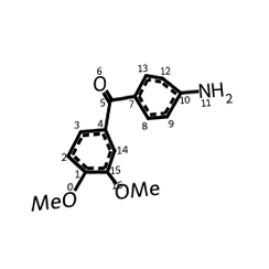 COc1ccc(C(=O)c2ccc(N)cc2)cc1OC